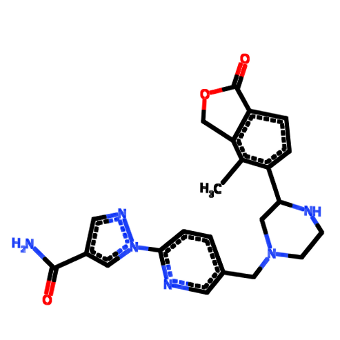 Cc1c(C2CN(Cc3ccc(-n4cc(C(N)=O)cn4)nc3)CCN2)ccc2c1COC2=O